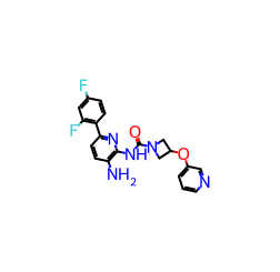 Nc1ccc(-c2ccc(F)cc2F)nc1NC(=O)N1CC(Oc2cccnc2)C1